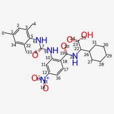 Cc1cc(C)c(NC(=O)Nc2cc([N+](=O)[O-])ccc2C(=O)NC(C(=O)O)C2CCCCC2)c(C)c1